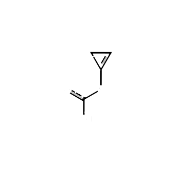 O=C(O)SC1=CC1